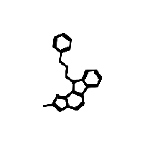 Cc1cn2ccc3c4ccccc4n(CCCc4ccccc4)c3c2n1